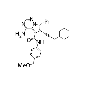 COCc1ccc(NC(=O)c2c(C#CCC3CCCCC3)c(C(C)C)n3ncnc(N)c23)cc1